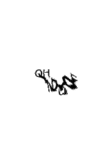 O=C(c1ccc(F)cc1)C1CCN(CCCO)CC1